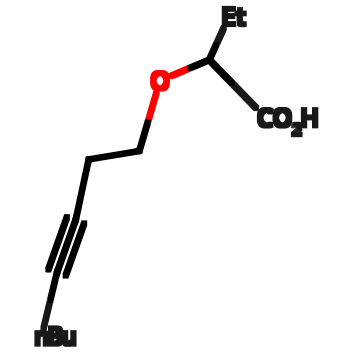 CCCCC#CCCOC(CC)C(=O)O